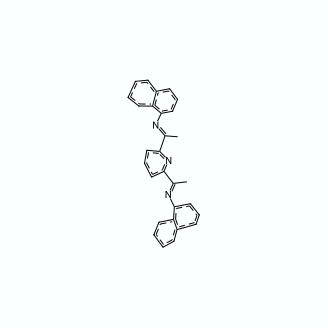 C/C(=N\c1cccc2ccccc12)c1cccc(/C(C)=N/c2cccc3ccccc23)n1